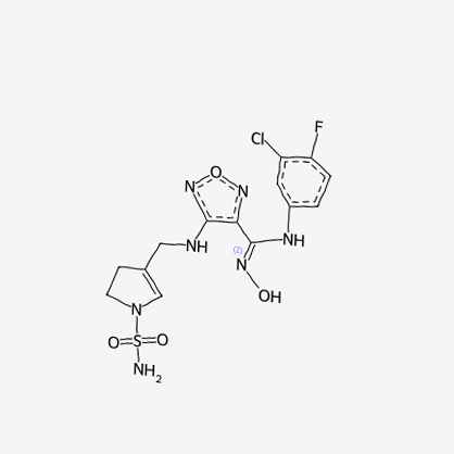 NS(=O)(=O)N1C=C(CNc2nonc2/C(=N/O)Nc2ccc(F)c(Cl)c2)CC1